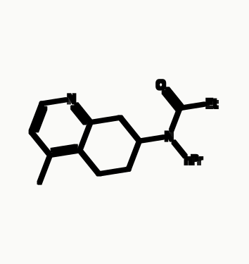 CCCN(C(=O)CC)C1CCc2c(C)ccnc2C1